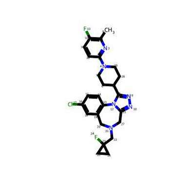 Cc1nc(N2CCC(c3nnc4n3-c3ccc(Cl)cc3CN(CC3(F)CC3)C4)CC2)ccc1F